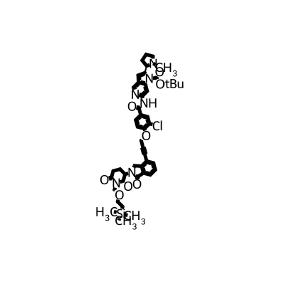 CN1CCC[C@@H]1c1cc2cnc(NC(=O)c3ccc(OCC#Cc4cccc5c4CN(C4CCC(=O)N(COCC[Si](C)(C)C)C4=O)C5=O)c(Cl)c3)cc2n1C(=O)OC(C)(C)C